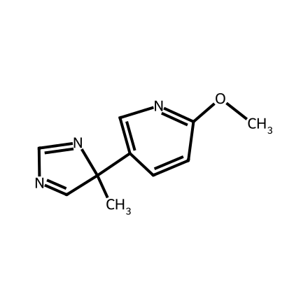 COc1ccc(C2(C)C=NC=N2)cn1